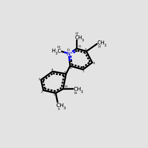 Cc1cccc(-c2ccc(C)c(C)[n+]2C)c1C